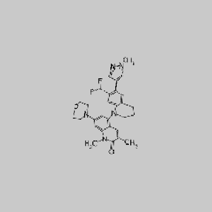 Cc1cc2c(N3CCCc4cc(-c5cnn(C)c5)c(C(F)F)cc43)cc(N3CCOCC3)cc2n(C)c1=O